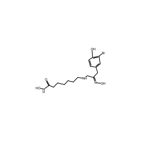 O=C(CCCCCCNC/C(Cc1ccc(O)c(Br)c1)=N/O)NO